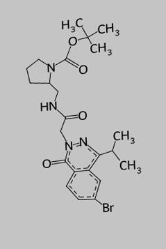 CC(C)c1nn(CC(=O)NCC2CCCN2C(=O)OC(C)(C)C)c(=O)c2ccc(Br)cc12